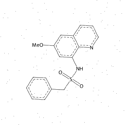 COc1cc(NS(=O)(=O)Cc2ccccc2)c2ncccc2c1